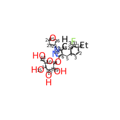 CCc1ccc(Cc2c(O[C@@H]3O[C@H](CO)[C@@H](O)C(O)[C@H]3O)nn(C3CCOC3)c2C)cc1F